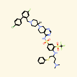 [2H]C1(N2CCc3c(ncnc3NS(=O)(=O)c3ccc(NC(CCN(C)C)CSc4ccccc4)c(S(=O)(=O)C(F)(F)F)c3)C2)CCN(Cc2cc(F)ccc2-c2ccc(Cl)cc2)CC1